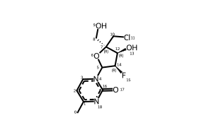 Cc1ccn(C2O[C@@](CO)(CCl)[C@@H](O)[C@H]2F)c(=O)n1